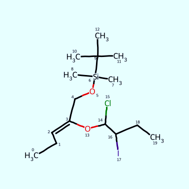 CC/C=C(/CO[Si](C)(C)C(C)(C)C)OC(Cl)C(I)CC